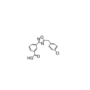 O=C(O)c1cccc(-c2noc(Cc3ccc(Cl)cc3)n2)c1